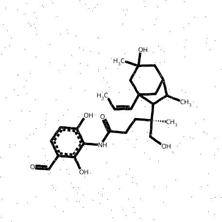 C/C=C\C12CC(CC(C)(O)C1)C(C)C2[C@@](C)(CO)CCC(=O)Nc1c(O)ccc(C=O)c1O